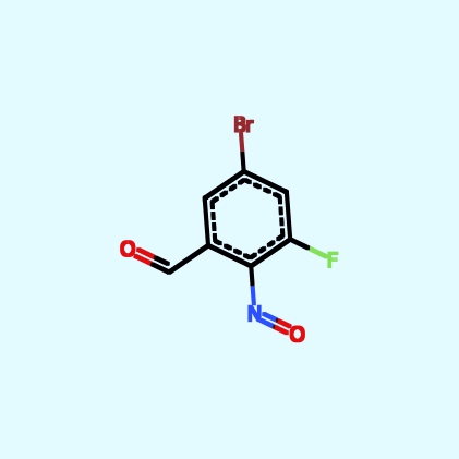 O=Cc1cc(Br)cc(F)c1N=O